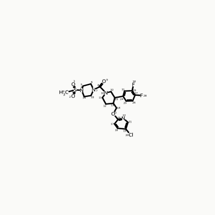 CS(=O)(=O)N1CCN(C(=O)N2CCC(COc3ccc(Cl)cn3)C(c3ccc(F)c(F)c3)C2)CC1